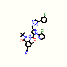 Cc1cc(C#N)cc(C(=O)NC(C)(C)C)c1NC(=O)c1cc(Cn2ncc(-c3cccc(Cl)c3)n2)nn1-c1ncccc1Cl